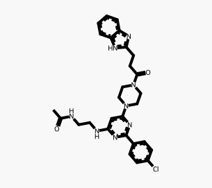 CC(=O)NCCNc1cc(N2CCN(C(=O)CCc3nc4ccccc4[nH]3)CC2)nc(-c2ccc(Cl)cc2)n1